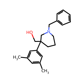 Cc1cc(C)cc(C2(CO)CCCN(Cc3ccccc3)C2)c1